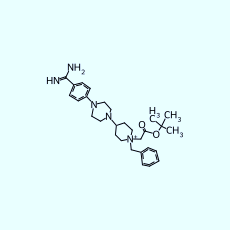 CC(C)(C)OC(=O)C[N+]1(Cc2ccccc2)CCC(N2CCN(c3ccc(C(=N)N)cc3)CC2)CC1